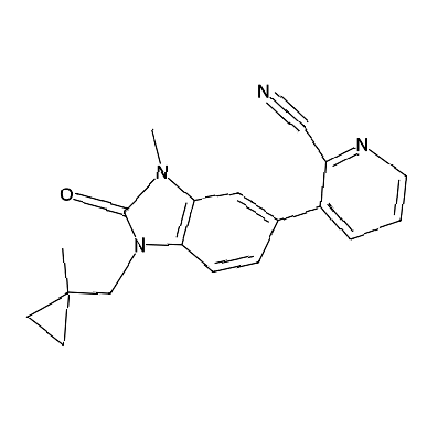 Cn1c(=O)n(CC2(C)CC2)c2ccc(-c3cccnc3C#N)cc21